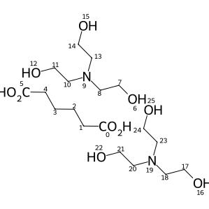 O=C(O)CCCCC(=O)O.OCCN(CCO)CCO.OCCN(CCO)CCO